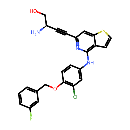 N[C@H](C#Cc1cc2sccc2c(Nc2ccc(OCc3cccc(F)c3)c(Cl)c2)n1)CO